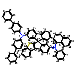 c1ccc(-c2ccc(N(c3ccc(-c4ccccc4)cc3)c3ccc4c(c3)C3(c5ccccc5-4)c4cc(N(c5ccccc5)c5cccc6ccccc56)ccc4-c4c3sc3ccccc43)cc2)cc1